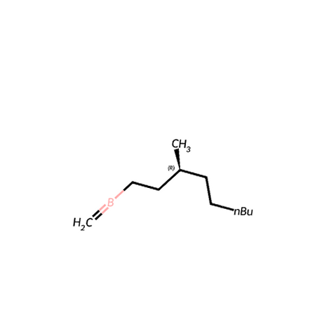 C=BCC[C@@H](C)CCCCCC